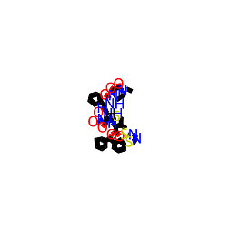 CCN1CCN(C(=O)NC(C(=O)N[C@]2(NC=O)C(=O)N3C(C(=O)OC(c4ccccc4)c4ccccc4)=C(CSc4nncs4)CS[C@H]32)c2ccccc2)C(=O)C1=O